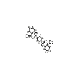 CCC(OC(=O)c1ccc(C(=O)OC(CC)c2ccccc2)cc1)c1ccccc1